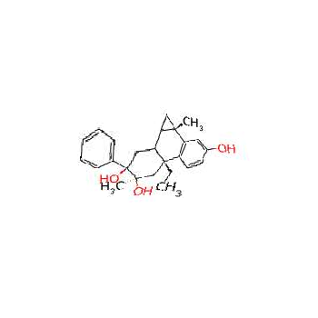 CC[C@@]12C[C@@](C)(O)[C@](O)(c3ccccc3)CC1C1C[C@]1(C)c1cc(O)ccc12